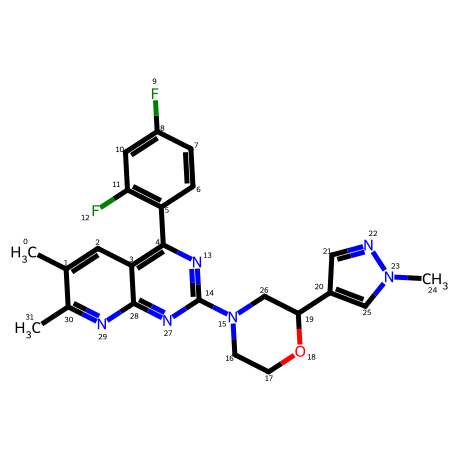 Cc1cc2c(-c3ccc(F)cc3F)nc(N3CCOC(c4cnn(C)c4)C3)nc2nc1C